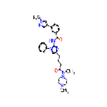 CN1CCN(N(C)C(=O)CCCc2cn(-c3ccccc3)c(NC(=O)c3cccc(-c4cnn(C)c4)c3)n2)CC1